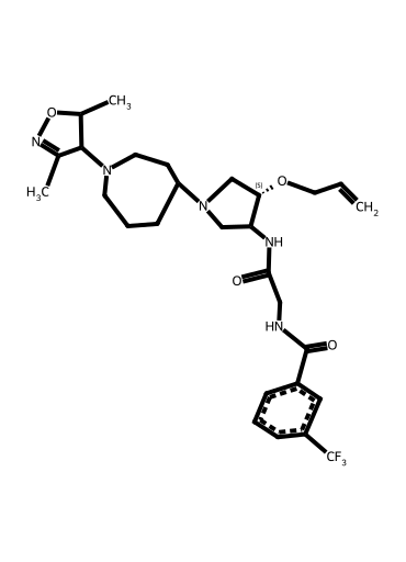 C=CCO[C@H]1CN(C2CCCN(C3C(C)=NOC3C)CC2)CC1NC(=O)CNC(=O)c1cccc(C(F)(F)F)c1